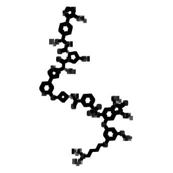 CCCOc1cc(OCCCCN(C)C)cc(Oc2cc3c(cc2NS(=O)(=O)c2cccc(C(=O)N[C@H]4C[C@H](Oc5cc(-c6cnn([C@H](C(=O)N7C[C@H](O)C[C@H]7C(=O)N[C@@H](C)c7ccc(-c8scnc8C)cc7)C(C)(C)C)c6)ccn5)C4)c2)n(C)c(=O)n3C)c1